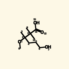 COC(C)(CCCO)C(C)(C)C(=O)O